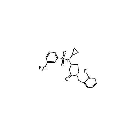 O=C1CC(N(C2CC2)S(=O)(=O)c2cccc(C(F)(F)F)c2)CCN1Cc1ccccc1F